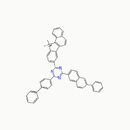 C[Si]1(C)c2ccc(-c3nc(-c4ccc(-c5ccccc5)cc4)nc(-c4ccc5cc(-c6ccccc6)ccc5c4)n3)cc2-c2ccc3ccccc3c21